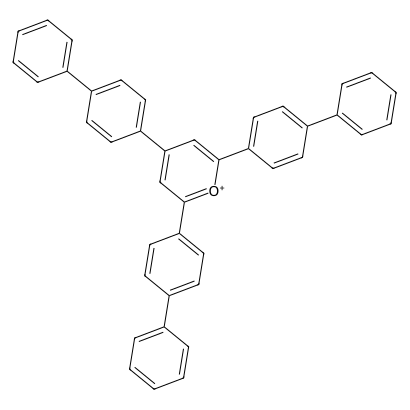 c1ccc(-c2ccc(-c3cc(-c4ccc(-c5ccccc5)cc4)[o+]c(-c4ccc(-c5ccccc5)cc4)c3)cc2)cc1